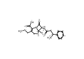 CSCC1=C(C(=O)O)N2C(=O)C(NC(=O)CC(N)c3ccccc3)[C@@H]2SC1